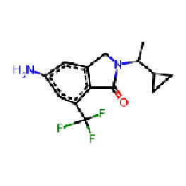 CC(C1CC1)N1Cc2cc(N)cc(C(F)(F)F)c2C1=O